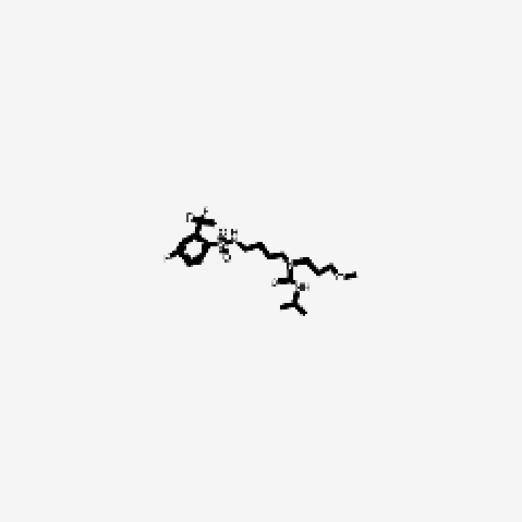 COC[CH]CN(CCCCNS(=O)(=O)c1ccc(F)cc1C(F)(F)F)C(=O)NC(C)C